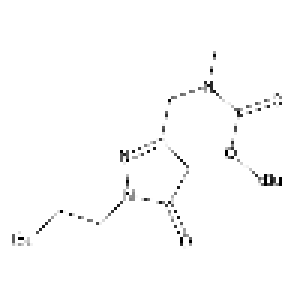 CN(CC1=NN(CCC(C)(C)C)C(=O)C1)C(=O)OC(C)(C)C